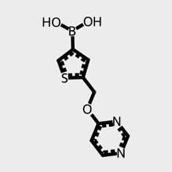 OB(O)c1csc(COc2ccncn2)c1